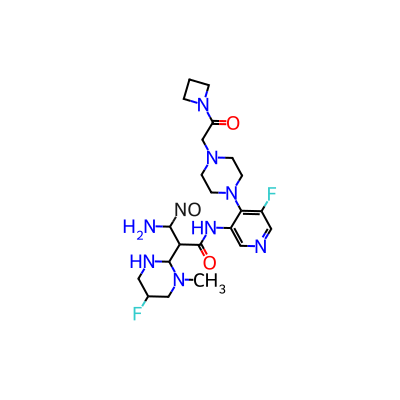 CN1CC(F)CNC1C(C(=O)Nc1cncc(F)c1N1CCN(CC(=O)N2CCC2)CC1)C(N)N=O